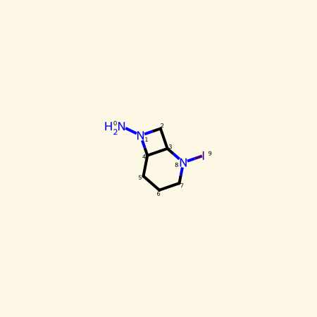 NN1CC2C1CCCN2I